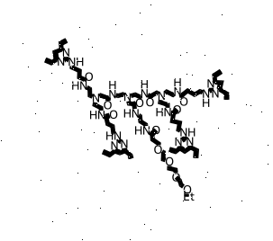 C=Cc1cc(C=C)nc(NCCCC(=O)NCCN(CCNC(=O)CCCNc2nc(C=C)cc(C=C)n2)CC(=O)NCCN(CCNC(=O)CN(CCNC(=O)CCCNc2nc(C=C)cc(C=C)n2)CCNC(=O)CCCNc2nc(C=C)cc(C=C)n2)CC(=O)NCCCNC(=O)CCOCCOCCOCCOCC)n1